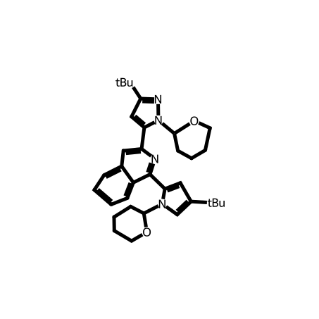 CC(C)(C)c1cc(-c2nc(-c3cc(C(C)(C)C)nn3C3CCCCO3)cc3ccccc23)n(C2CCCCO2)c1